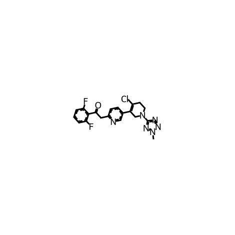 Cn1nnc(N2CCC(Cl)=C(c3ccc(CC(=O)c4c(F)cccc4F)nc3)C2)n1